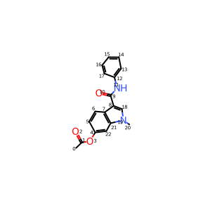 CC(=O)Oc1ccc2c(C(=O)Nc3ccccc3)cn(C)c2c1